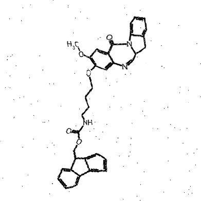 COc1cc2c(cc1OCCCCNC(=O)OCC1c3ccccc3-c3ccccc31)N=CC1Cc3ccccc3N1C2=O